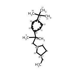 CC[C@@H]1CCN(CC(C)(C)c2ccc(C(C)(C)C)cc2)C1